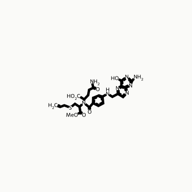 C=CCSCC(C(=O)OC)N(C(=O)c1ccc(NCc2cnc3nc(N)nc(O)c3n2)cc1)C(CCC(N)=O)C(=O)O